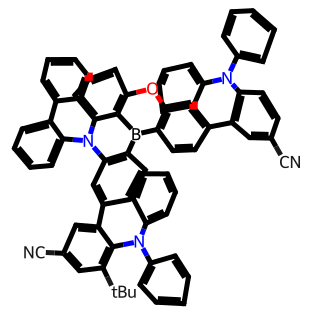 CC(C)(C)c1cc(C#N)cc(-c2ccc3c(c2)N(c2ccccc2-c2ccccc2)c2cccc4c2B3c2ccc(-c3cc(C#N)ccc3N(c3ccccc3)c3ccccc3)cc2O4)c1N(c1ccccc1)c1ccccc1